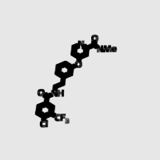 CNC(=O)c1cc(Oc2cccc(CCNC(=O)c3ccc(Cl)c(C(F)(F)F)c3)c2)ccn1